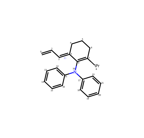 C=C/C=C1\CCCC(C(C)C)=C1N(c1ccccc1)c1ccccc1